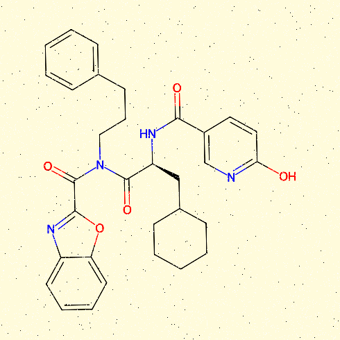 O=C(N[C@@H](CC1CCCCC1)C(=O)N(CCCc1ccccc1)C(=O)c1nc2ccccc2o1)c1ccc(O)nc1